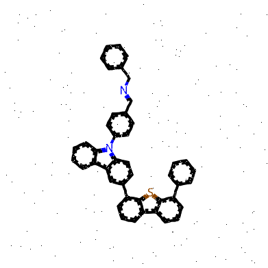 C(=N\Cc1ccccc1)/c1ccc(-n2c3ccccc3c3cc(-c4cccc5c4sc4c(-c6ccccc6)cccc45)ccc32)cc1